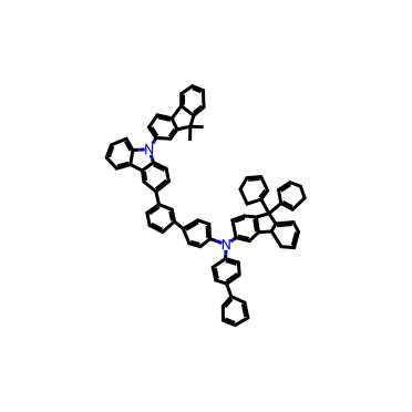 CC1(C)c2ccccc2-c2ccc(-n3c4ccccc4c4cc(-c5cccc(-c6ccc(N(c7ccc(-c8ccccc8)cc7)c7ccc8c(c7)C7CC=CC=C7C8(C7=CCCC=C7)C7=CC=CCC7)cc6)c5)ccc43)cc21